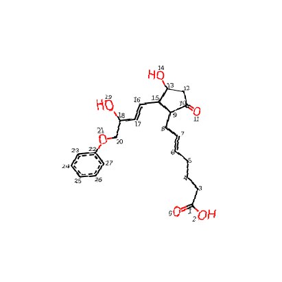 O=C(O)CCCC=CCC1C(=O)CC(O)C1C=CC(O)COc1ccccc1